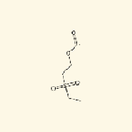 CCS(=O)(=O)CCO[C]=O